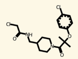 CC(C)(Oc1ccc(Cl)cc1)C(=O)N1CCC(CNC(=O)CCl)CC1